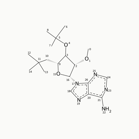 CO[C@H]1C(OC(C)(C)C)[C@@H](CC(C)(C)C)O[C@H]1n1cnc2c(N)ncnc21